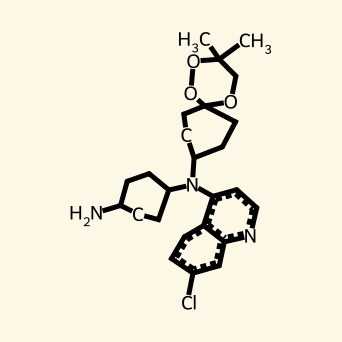 CC1(C)COC2(CCC(N(c3ccnc4cc(Cl)ccc34)C3CCC(N)CC3)CC2)OO1